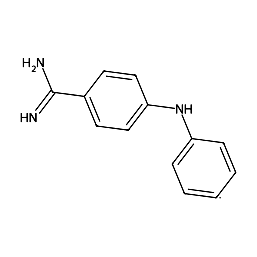 N=C(N)c1ccc(Nc2cc[c]cc2)cc1